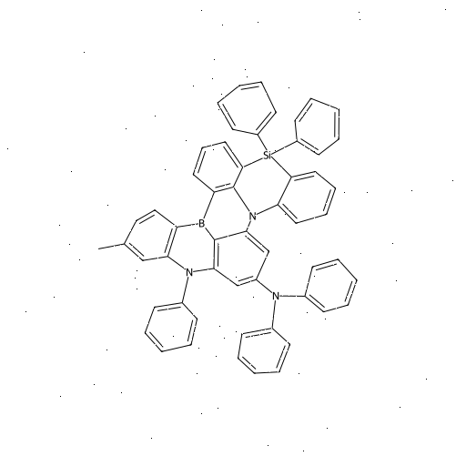 Cc1ccc2c(c1)N(c1ccccc1)c1cc(N(c3ccccc3)c3ccccc3)cc3c1B2c1cccc2c1N3c1ccccc1[Si]2(c1ccccc1)c1ccccc1